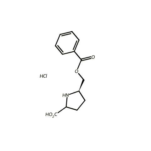 Cl.O=C(OC[C@H]1CCC(C(=O)O)N1)c1ccccc1